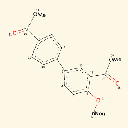 CCCCCCCCCOc1ccc(-c2ccc(C(=O)OC)cc2)cc1C(=O)OC